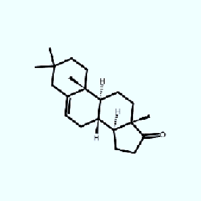 CC1(C)CC[C@@]2(C)C(=CC[C@@H]3[C@@H]2CC[C@]2(C)C(=O)CC[C@@H]32)C1